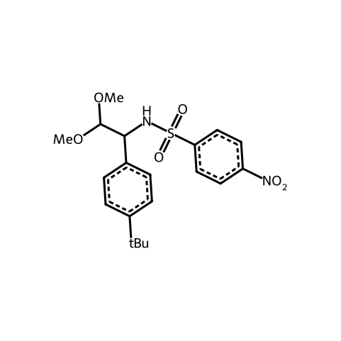 COC(OC)C(NS(=O)(=O)c1ccc([N+](=O)[O-])cc1)c1ccc(C(C)(C)C)cc1